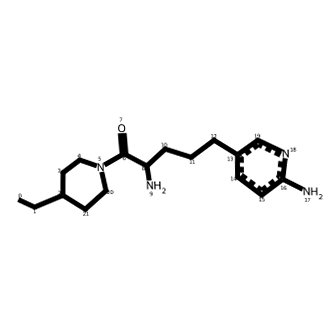 CCC1CCN(C(=O)C(N)CCCc2ccc(N)nc2)CC1